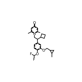 Cc1cc(=O)cc(C)n1CC(c1ccc(OC(F)F)c(OCC2CC2C)c1)C1CCC1